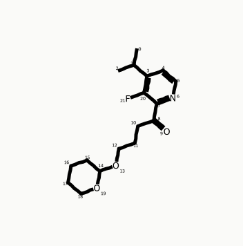 CC(C)c1ccnc(C(=O)CCCOC2CCCCO2)c1F